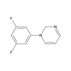 Fc1cc(F)cc(N2C=CC=NC2)c1